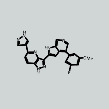 COc1cc(F)cc(-c2cncc3[nH]c(-c4n[nH]c5ccc(-c6cn[nH]c6)nc45)cc23)c1